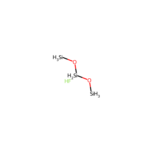 F.[SiH3]O[SiH2]O[SiH3]